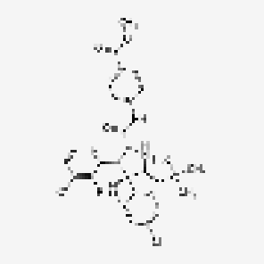 COC(=O)c1ccc(NC(=O)[C@@H]2N[C@@H](CC(C)(C)C)[C@](N)(c3ccc(Cl)cn3)[C@H]2c2cccc(Cl)c2F)cc1